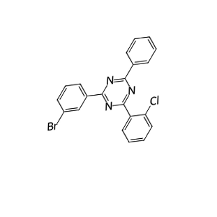 Clc1ccccc1-c1nc(-c2ccccc2)nc(-c2cccc(Br)c2)n1